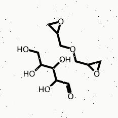 C(OCC1CO1)C1CO1.O=CC(O)C(O)C(O)CO